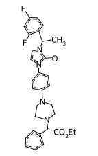 CCOC(=O)[C@H](c1ccccc1)N1CCN(c2ccc(-n3ccn(C(C)c4ccc(F)cc4F)c3=O)cc2)CC1